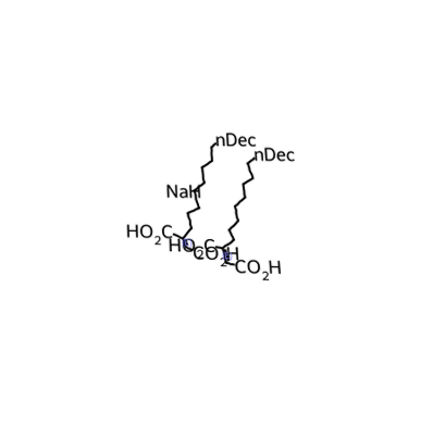 CCCCCCCCCCCCCCCCCC/C(=C\C(=O)O)C(=O)O.CCCCCCCCCCCCCCCCCC/C(=C\C(=O)O)C(=O)O.[NaH]